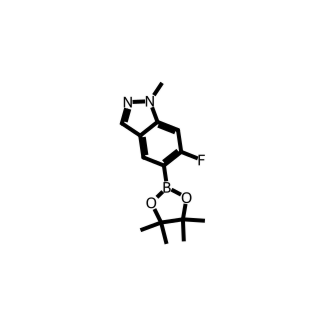 Cn1ncc2cc(B3OC(C)(C)C(C)(C)O3)c(F)cc21